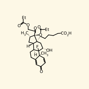 CCC(=O)OCC(=O)[C@@]1(OC(=O)CC)[C@@H](C)C[C@H]2[C@@H]3CCC4=CC(=O)C=C[C@]4(C)C3(F)[C@@H](O)C[C@@]21CCCCCC(=O)O